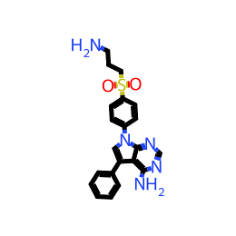 NCCCS(=O)(=O)c1ccc(-n2cc(-c3ccccc3)c3c(N)ncnc32)cc1